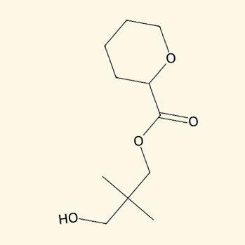 CC(C)(CO)COC(=O)C1CCCCO1